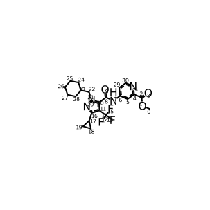 COC(=O)c1cc(NC(=O)c2c(C(F)(F)F)c(C3CC3)nn2CC2CCCCC2)ccn1